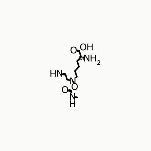 CNC(=O)ON(CC=N)CCCC[C@H](N)C(=O)O